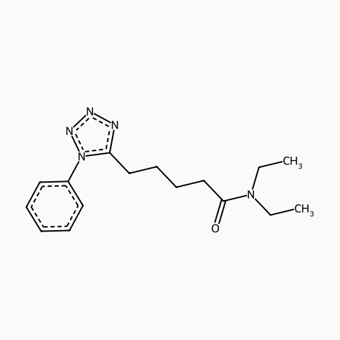 CCN(CC)C(=O)CCCCc1nnnn1-c1ccccc1